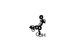 Cc1oc(-c2ccccc2)nc1COc1ccc(CCC(=O)O)c2c1CCN(C(=O)OC(C)(C)C)C2